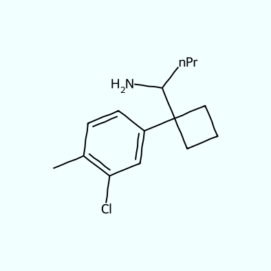 CCCC(N)C1(c2ccc(C)c(Cl)c2)CCC1